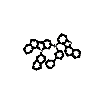 c1ccc(-c2cccc(N(c3ccc4c5ccc6ccccc6c5n(-c5ccc6ccccc6c5)c4c3)c3cccc4sc5c6ccccc6ccc5c34)c2)cc1